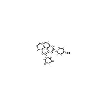 O=C(Oc1ccc2ccccc2c1OC(=O)c1ccccc1)c1ccc(O)cc1